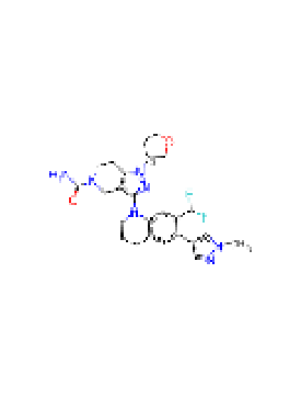 Cn1cc(-c2cc3c(cc2C(F)F)N(c2nn([C@H]4CCOC4)c4c2CN(C(N)=O)CC4)CCC3)cn1